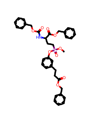 COP(=O)(CCC(NC(=O)OCc1ccccc1)C(=O)OCc1ccccc1)Oc1cccc(CCC(=O)OCc2ccccc2)c1